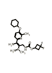 Cc1nc(/C(N)=C(\CNC(=O)OC2CC(F)(F)C2)N(C)N)ccc1OC1CCCCC1